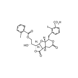 O=C1C[C@H]2[C@H](O[C@@H]3[C@@H]([C@H](O)COC(=O)c4ccccc4I)OC(=O)[C@H]23)[C@@H](Cc2cccc(C(=O)O)c2I)O1